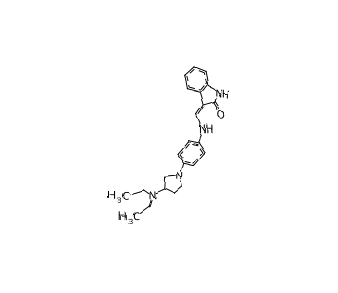 CCN(CC)C1CCN(c2ccc(NC=C3C(=O)Nc4ccccc43)cc2)C1